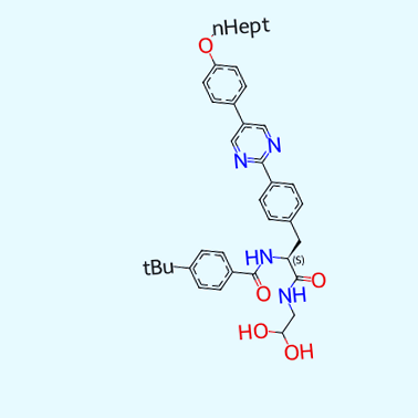 CCCCCCCOc1ccc(-c2cnc(-c3ccc(C[C@H](NC(=O)c4ccc(C(C)(C)C)cc4)C(=O)NCC(O)O)cc3)nc2)cc1